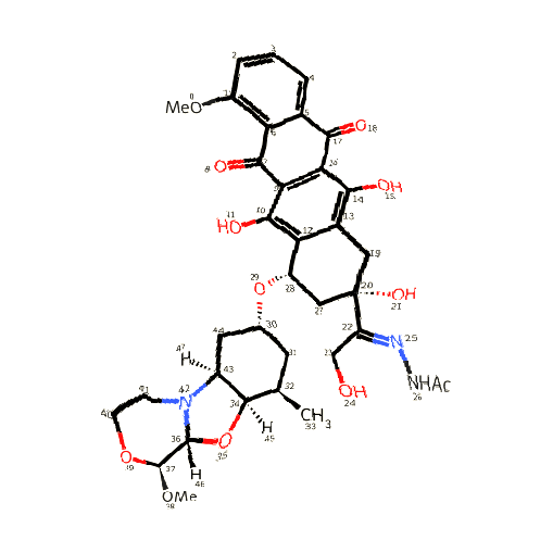 COc1cccc2c1C(=O)c1c(O)c3c(c(O)c1C2=O)C[C@@](O)(/C(CO)=N/NC(C)=O)C[C@@H]3O[C@@H]1C[C@@H](C)[C@H]2O[C@@H]3[C@@H](OC)OCCN3[C@H]2C1